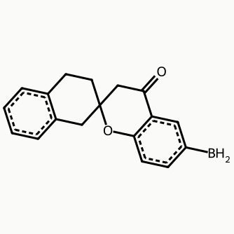 Bc1ccc2c(c1)C(=O)CC1(CCc3ccccc3C1)O2